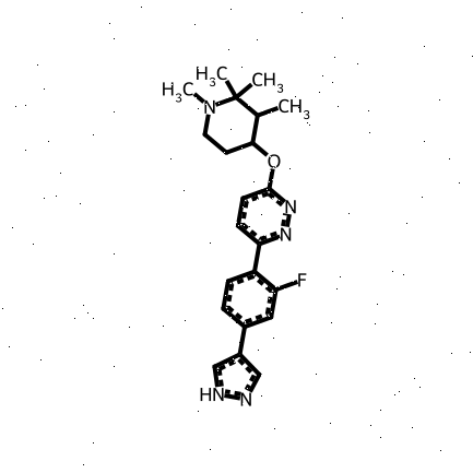 CC1C(Oc2ccc(-c3ccc(-c4cn[nH]c4)cc3F)nn2)CCN(C)C1(C)C